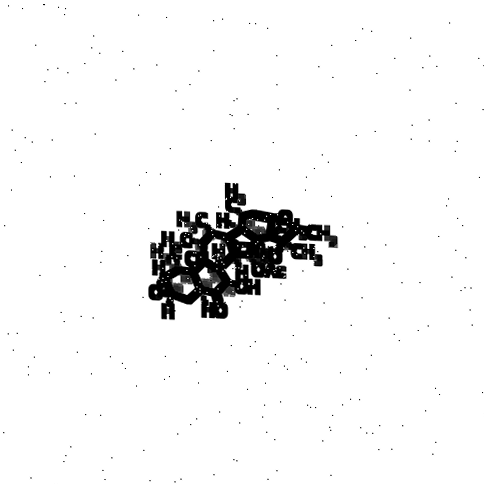 C=C1OC2=C[C@@H](C)[C@H]3[C@@H]([C@H](OC(C)=O)[C@H]4[C@H]5C([C@H](C)[C@H](C)[C@]34C)[C@]3(C)[C@H](C[C@@H]4O[C@@H]4[C@@H]3C)C(=O)[C@@H]5O)[C@@]2(C)[C@]1(C)O